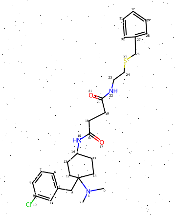 CN(C)C1(Cc2cccc(Cl)c2)CCC(NC(=O)CCC(=O)NCCSCc2ccccc2)CC1